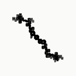 C=C(C(=O)OCCCC(C)OC(=O)CCC(=O)Oc1ccc(-c2ccc(-c3ccc4cc(OC(=O)CCC(=O)OC(C)CCCOC(=O)C(=C)C(F)(F)F)ccc4c3)cc2)c(F)c1)C(F)(F)F